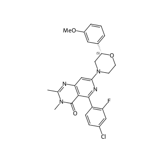 COc1cccc([C@H]2CN(c3cc4nc(C)n(C)c(=O)c4c(-c4ccc(Cl)cc4F)n3)CCO2)c1